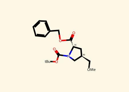 COC[C@@H]1C[C@@H](C(=O)OCc2ccccc2)N(C(=O)OC(C)(C)C)C1